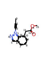 CC#Cn1ncc2cccc(CC(=O)OC)c21